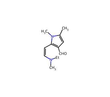 CCN(C)/C=C\c1c(C=O)cc(C)n1C